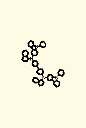 C1=CC2c3cc(N(c4ccc(-c5ccc(N(c6ccc7c(c6)c6ccccc6n7C6=CCCC=C6)c6cccc7ccccc67)cc5)cc4)c4cccc5ccccc45)ccc3N(c3ccccc3)C2C=C1